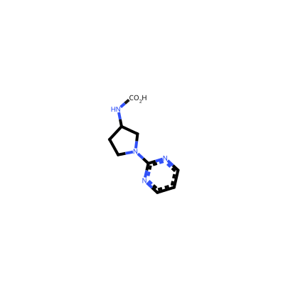 O=C(O)NC1CCN(c2ncccn2)C1